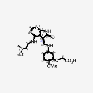 CCN(C)CCNc1ncnc2c1/C(=C/Nc1ccc(OC)c(OCC(=O)O)c1)C(=O)N2